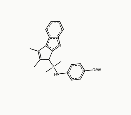 COc1ccc(NS(C)(C)C2C(C)=C(C)c3c2sc2ccccc32)cc1